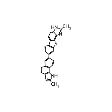 Cc1nc2c(ccc3c4ccc(-c5ccc6c(ccc7nc(C)[nH]c76)c5)cc4sc32)[nH]1